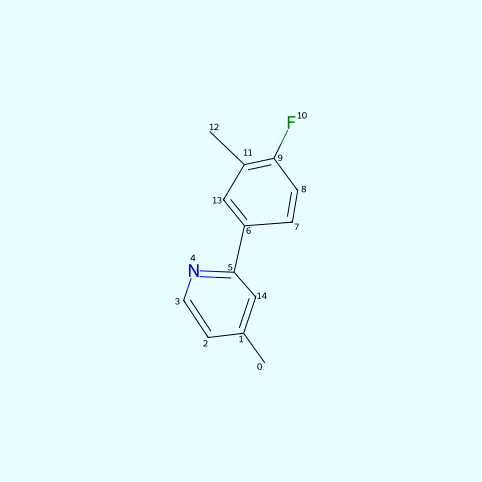 Cc1ccnc(-c2ccc(F)c(C)c2)c1